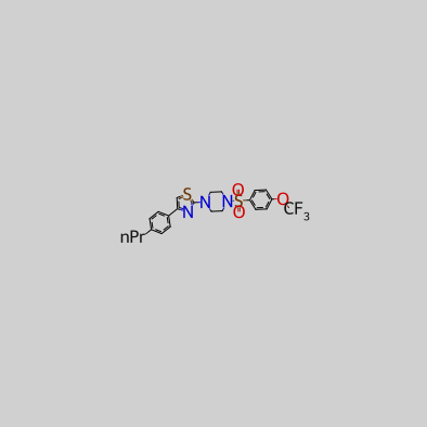 CCCc1ccc(-c2csc(N3CCN(S(=O)(=O)c4ccc(OC(F)(F)F)cc4)CC3)n2)cc1